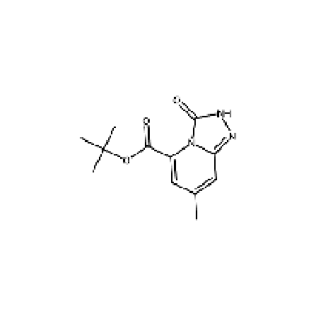 Cc1cc(C(=O)OC(C)(C)C)n2c(=O)[nH]nc2c1